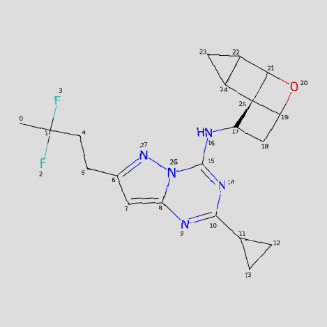 CC(F)(F)CCc1cc2nc(C3CC3)nc(NC3CC4OC5C6CC6[C@@]345)n2n1